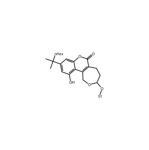 CCCCCCC(C)(C)c1cc(O)c2c3c(c(=O)oc2c1)CCC(OCC)OC3